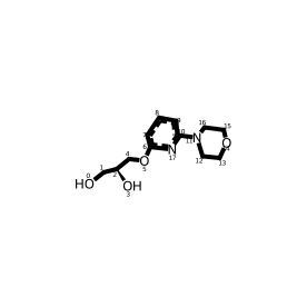 OC[C@H](O)COc1cccc(N2CCOCC2)n1